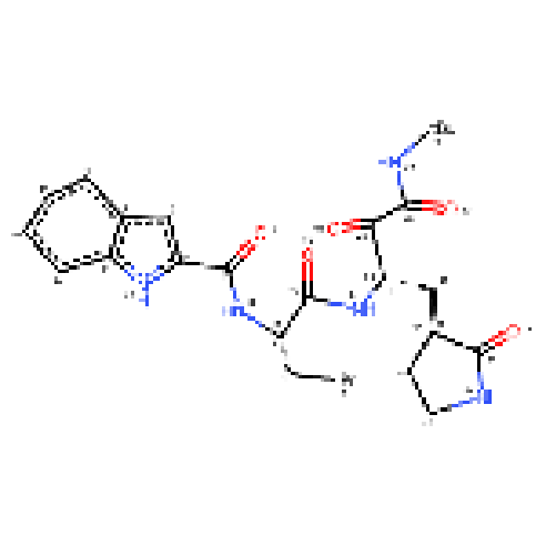 CC(C)C[C@H](NC(=O)c1cc2ccccc2[nH]1)C(=O)N[C@@H](C[C@@H]1CCNC1=O)C(=O)C(=O)NC(C)(C)C